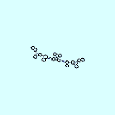 C(=C\c1ccc(-c2ccc3c(c2)c2ccccc2n3-c2ccc3ccccc3c2)c2ccccc12)/c1ccc2c(c1)C1(c3ccccc3-c3ccccc31)c1cc(/C=C/c3ccc(-c4ccc5c(c4)c4ccccc4n5-c4ccc5ccccc5c4)c4ccccc34)ccc1-2